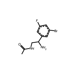 CC(=O)NCC(N)c1cc(F)cc(Br)c1